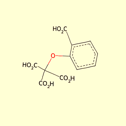 O=C(O)c1ccccc1OC(C(=O)O)(C(=O)O)C(=O)O